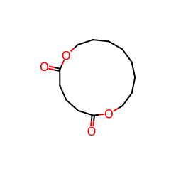 O=C1CCCC(=O)OCCCCCCCCO1